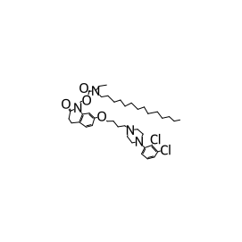 CCCCCCCCCCCCCCN(CC)C(=O)OCN1C(=O)CCc2ccc(OCCCCN3CCN(c4cccc(Cl)c4Cl)CC3)cc21